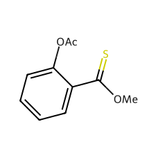 COC(=S)c1ccccc1OC(C)=O